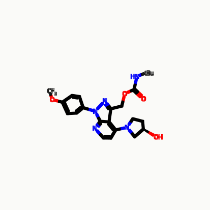 CC(C)(C)NC(=O)OCc1nn(-c2ccc(OC(F)(F)F)cc2)c2nccc(N3CC[C@@H](O)C3)c12